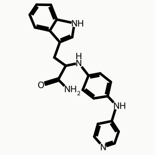 NC(=O)C(Cc1c[nH]c2ccccc12)Nc1ccc(Nc2ccncc2)cc1